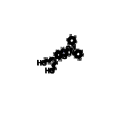 CN(C(=NC1CCCCC1)O/C(C=O)=C/c1ccc(N(CCCO)CCCO)cc1)C1CCCCC1